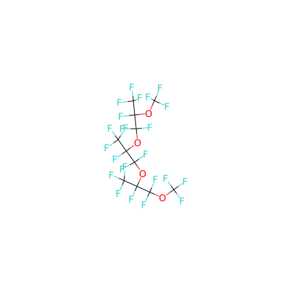 FC(F)(F)OC(F)(F)C(F)(OC(F)(F)C(F)(OC(F)(F)C(F)(OC(F)(F)F)C(F)(F)F)C(F)(F)F)C(F)(F)F